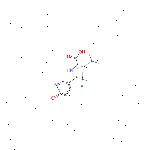 CC(C)C[C@H](N[C@@H](c1ccc(=O)[nH]c1)C(F)(F)F)C(=O)O